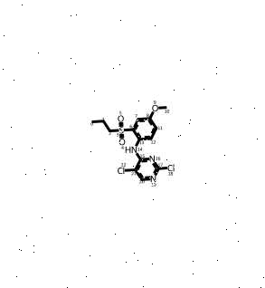 CCCS(=O)(=O)c1cc(OC)ccc1Nc1nc(Cl)ncc1Cl